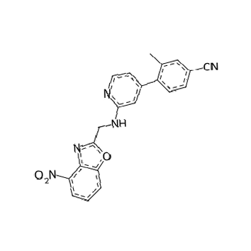 Cc1cc(C#N)ccc1-c1ccnc(NCc2nc3c([N+](=O)[O-])cccc3o2)c1